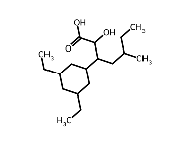 CCC(C)CC(C1CC(CC)CC(CC)C1)C(O)C(=O)O